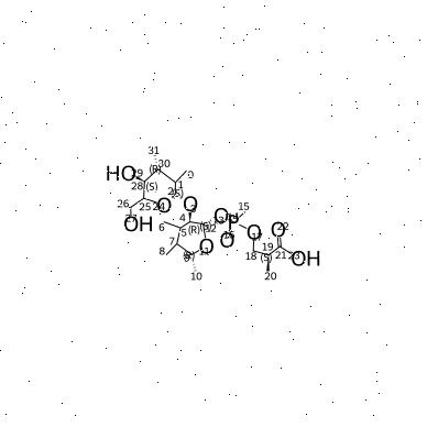 CC1[C@H](O[C@@H]2C(C)C(C)[C@@H](C)O[C@H]2OP(C)(=O)OC[C@H](C)C(=O)O)OC(CO)[C@@H](O)[C@@H]1C